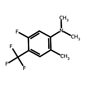 Cc1cc(C(F)(F)F)c(F)cc1N(C)C